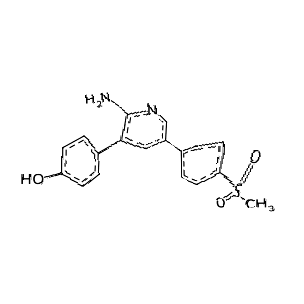 CS(=O)(=O)c1ccc(-c2cnc(N)c(-c3ccc(O)cc3)c2)cc1